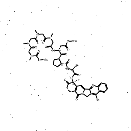 CCc1c2c(nc3ccccc13)-c1cc3c(c(=O)n1C2)COC(=O)[C@@]3(CC)OC(=O)[C@@H](NC(=O)[C@@H]1CCCN1C(=O)[C@H](CC(=O)OC(C)(C)C)NC(=O)CN(C)C(=O)CN(C)C(=O)CN(C)C(=O)CN(C)C(=O)OC(C)(C)C)C(C)C